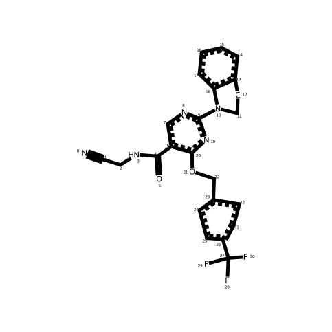 N#CCNC(=O)c1cnc(N2CCc3ccccc32)nc1OCc1ccc(C(F)(F)F)cc1